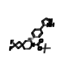 CC(C)(C)OC(=O)N1CCC2(C[C@@H]1c1ccc(-c3ccn[nH]3)cc1)CC(F)(F)C2